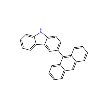 c1ccc2c(-c3ccc4[nH]c5ccccc5c4c3)c3ccccc3cc2c1